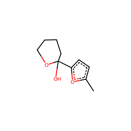 Cc1ccc(C2(O)CCCCO2)o1